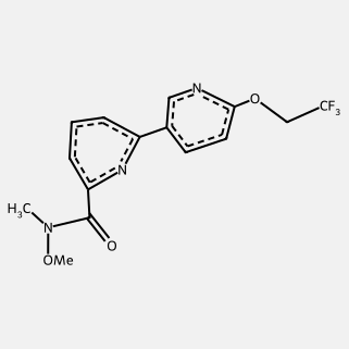 CON(C)C(=O)c1cccc(-c2ccc(OCC(F)(F)F)nc2)n1